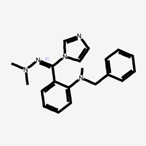 CN(C)/N=C(\c1ccccc1N(C)Cc1ccccc1)n1ccnc1